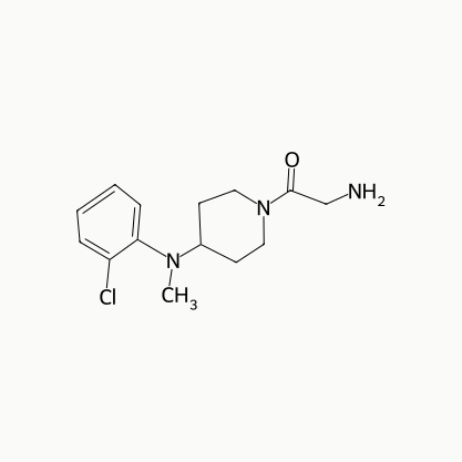 CN(c1ccccc1Cl)C1CCN(C(=O)CN)CC1